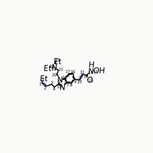 CC/C=C\CCc1nc2cc(/C=C/C(=O)NO)ccc2n1CCN(CC)CC